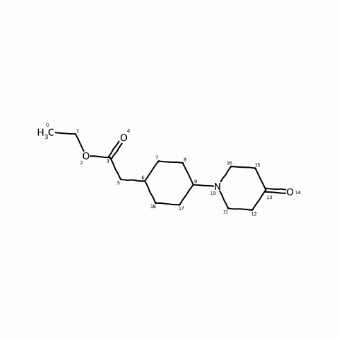 CCOC(=O)CC1CCC(N2CCC(=O)CC2)CC1